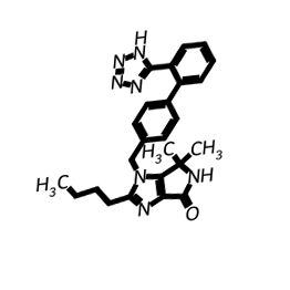 CCCCc1nc2c(n1Cc1ccc(-c3ccccc3-c3nnn[nH]3)cc1)C(C)(C)NC2=O